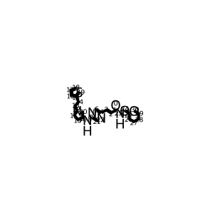 O=C(C=Cc1cnc(N[C@@H]2CCN(CCc3cccs3)C2)cn1)NOC1CCCCO1